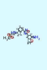 CC(C)Oc1ccc(-c2nc(-c3cccc4c3CCC4NCCS(C)(=O)=O)no2)cc1N